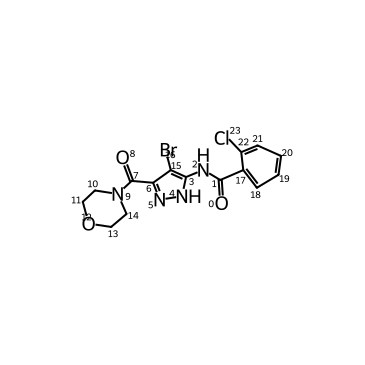 O=C(Nc1[nH]nc(C(=O)N2CCOCC2)c1Br)c1ccccc1Cl